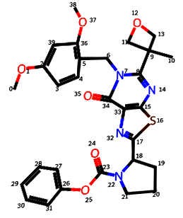 COc1ccc(Cn2c(C3(C)COC3)nc3sc(C4CCCN4C(=O)Oc4ccccc4)nc3c2=O)c(OC)c1